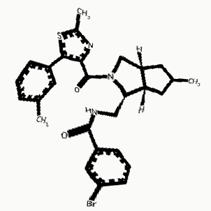 Cc1cccc(-c2sc(C)nc2C(=O)N2C[C@@H]3CC(C)C[C@@H]3[C@H]2CNC(=O)c2cccc(Br)c2)c1